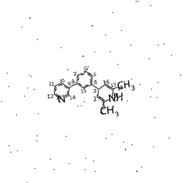 CC1=CC(c2cccc(-c3cccnc3)c2)C=C(C)N1